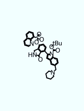 CC(C)(C)OC(=O)n1c(-c2ccc(OS(=O)(=O)c3cccc4cccnc34)c3c2C(=O)NC3)cc2cc(CN3CCCCC3)ccc21